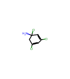 NC1(Cl)C=C(Cl)C=C(Cl)C1